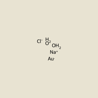 O.O.[Au].[Cl-].[Na+]